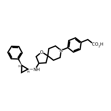 O=C(O)Cc1ccc(N2CCC3(CC2)CC(N[C@@H]2C[C@H]2c2ccccc2)CO3)cc1